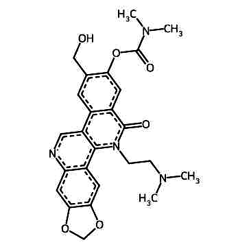 CN(C)CCn1c(=O)c2cc(OC(=O)N(C)C)c(CO)cc2c2cnc3cc4c(cc3c21)OCO4